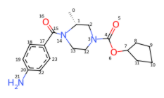 C[C@@H]1CN(C(=O)OC2CCCC2)CCN1C(=O)c1ccc(N)cc1